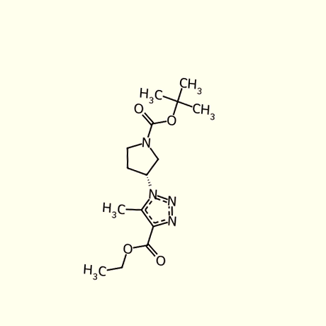 CCOC(=O)c1nnn([C@@H]2CCN(C(=O)OC(C)(C)C)C2)c1C